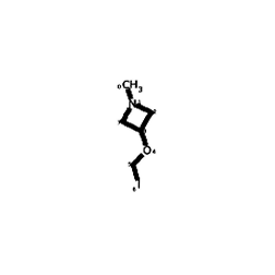 CN1CC(OCI)C1